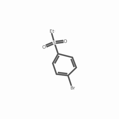 C[CH]S(=O)(=O)c1ccc(Br)cc1